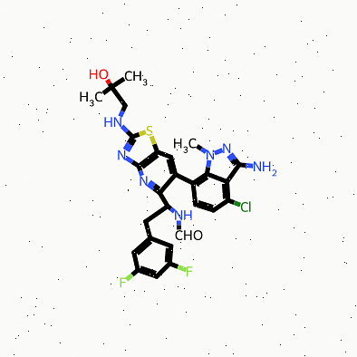 Cn1nc(N)c2c(Cl)ccc(-c3cc4sc(NCC(C)(C)O)nc4nc3C(Cc3cc(F)cc(F)c3)NC=O)c21